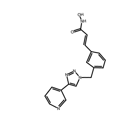 O=C(/C=C/c1cccc(Cn2cc(-c3cccnc3)nn2)c1)NO